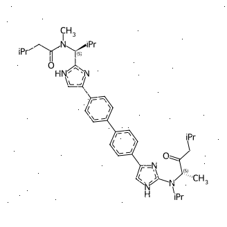 CC(C)CC(=O)[C@H](C)N(c1nc(-c2ccc(-c3ccc(-c4c[nH]c([C@H](C(C)C)N(C)C(=O)CC(C)C)n4)cc3)cc2)c[nH]1)C(C)C